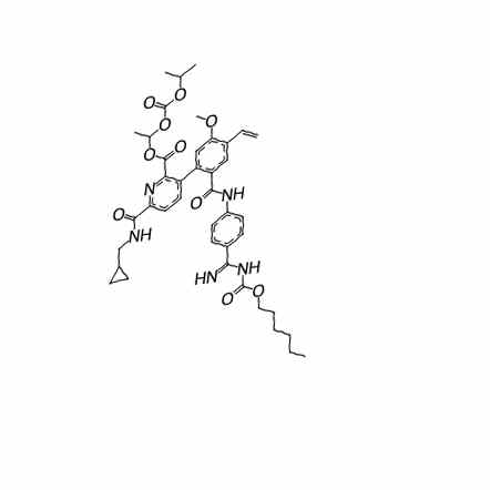 C=Cc1cc(C(=O)Nc2ccc(C(=N)NC(=O)OCCCCCC)cc2)c(-c2ccc(C(=O)NCC3CC3)nc2C(=O)OC(C)OC(=O)OC(C)C)cc1OC